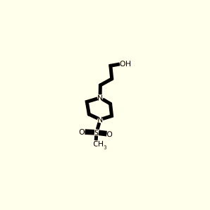 CS(=O)(=O)N1CCN(CCCO)CC1